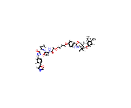 Cc1ncoc1-c1ccc(CNC(=O)[C@@H]2CCCN2C(=O)[C@@H](NC(=O)COCCCCOc2ccc(C(=O)N[C@H]3C(C)(C)[C@H](Oc4ccc(C#N)c(C(F)(F)F)c4)C3(C)C)cc2)C(C)(C)C)cc1